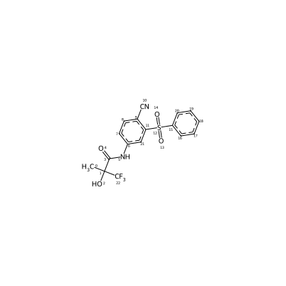 CC(O)(C(=O)Nc1ccc(C#N)c(S(=O)(=O)c2ccccc2)c1)C(F)(F)F